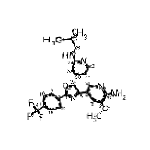 COc1cc(-c2nc(-c3ccc(C(F)(F)F)cc3)oc2-c2ccnc(NCC(C)C)c2)cnc1N